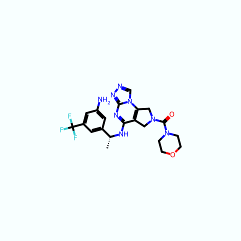 C[C@@H](Nc1nc2nncn2c2c1CN(C(=O)N1CCOCC1)C2)c1cc(N)cc(C(F)(F)F)c1